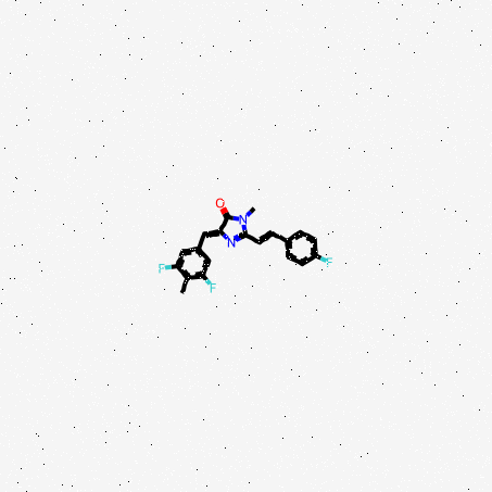 Cc1c(F)cc(/C=C2N=C(/C=C/c3ccc(F)cc3)N(C)C\2=O)cc1F